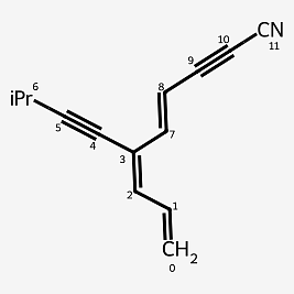 C=C/C=C(C#CC(C)C)\C=C\C#CC#N